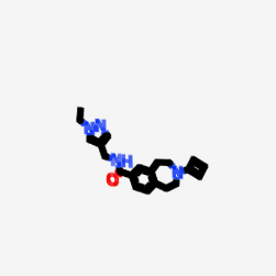 CCn1cc(CNC(=O)c2ccc3c(c2)CCN(C2=CC=C2)CC3)cn1